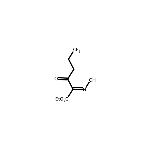 CCOC(=O)/C(=N/O)C(=O)CCC(F)(F)F